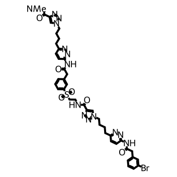 CNC(=O)c1cn(CCCCc2ccc(NC(=O)Cc3cccc(S(=O)(=O)CCNC(=O)c4cn(CCCCc5ccc(NC(=O)Cc6cccc(Br)c6)nn5)nn4)c3)nn2)nn1